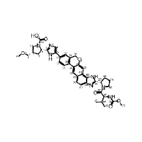 COC[C@H]1C[C@@H](c2ncc(-c3ccc4c(c3)COc3cc5c(ccc6nc([C@@H]7CCCN7C(=O)[C@@H](NC(=O)OC)C(C)C)[nH]c65)cc3-4)[nH]2)N(C(=O)O)C1